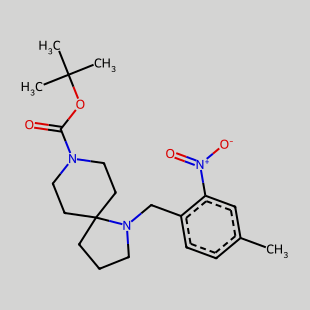 Cc1ccc(CN2CCCC23CCN(C(=O)OC(C)(C)C)CC3)c([N+](=O)[O-])c1